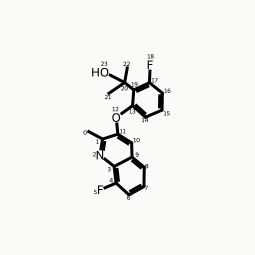 Cc1nc2c(F)cccc2cc1Oc1cccc(F)c1C(C)(C)O